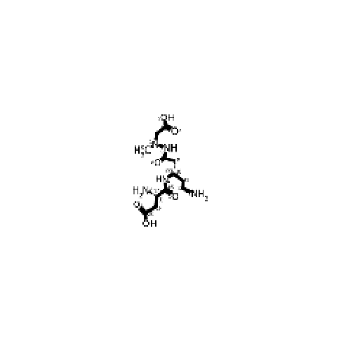 CN(CC(=O)O)NC(=O)C[C@H](CCN)NC(=O)[C@@H](N)CC(=O)O